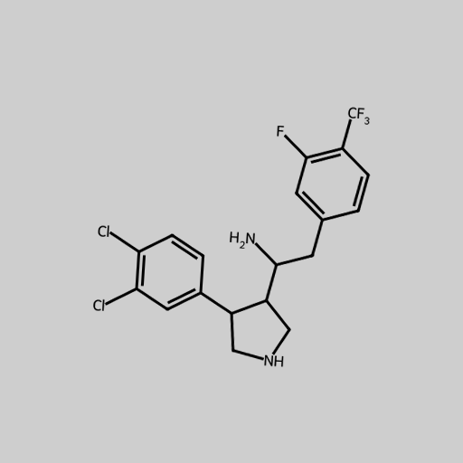 NC(Cc1ccc(C(F)(F)F)c(F)c1)C1CNCC1c1ccc(Cl)c(Cl)c1